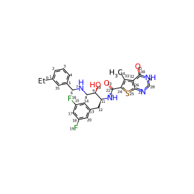 CCc1cccc(CNC[C@@H](O)[C@H](Cc2cc(F)cc(F)c2)NC(=O)c2sc3nc[nH]c(=O)c3c2C)c1